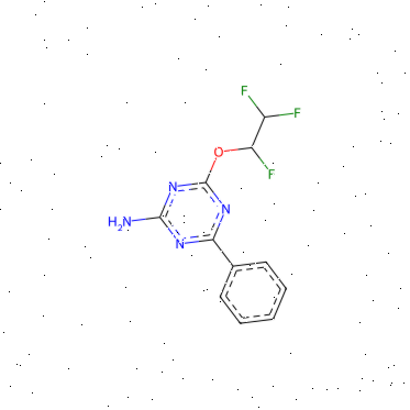 Nc1nc(OC(F)C(F)F)nc(-c2ccccc2)n1